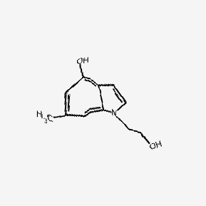 Cc1cc(O)c2ccn(CCO)c2c1